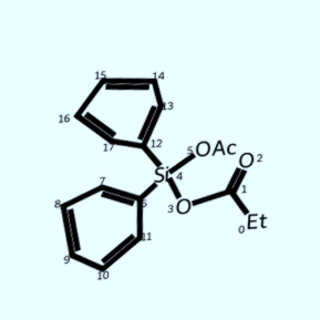 CCC(=O)O[Si](OC(C)=O)(c1ccccc1)c1ccccc1